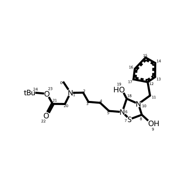 CN(CCCCN1SC(O)N(Cc2ccccc2)C1O)CC(=O)OC(C)(C)C